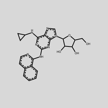 OCC1OC(n2cnc3c(NC4CC4)nc(Nc4nccc5ccccc45)nc32)C(O)C1O